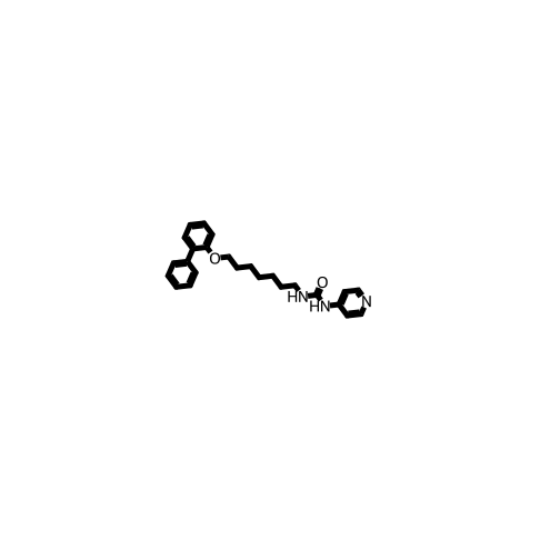 O=C(NCCCCCCCOc1ccccc1-c1ccccc1)Nc1ccncc1